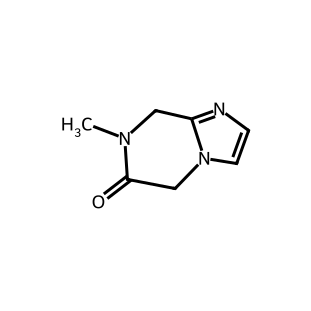 CN1Cc2nccn2CC1=O